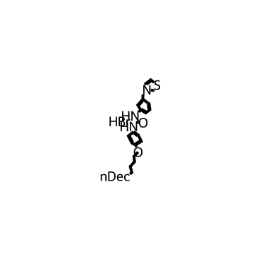 Br.CCCCCCCCCCCCCCOc1ccc(NC(=O)Nc2cccc(CN3C=CSC3)c2)cc1